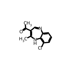 CC(=O)C1=C(C)Nc2c(Cl)cccc2N=C1